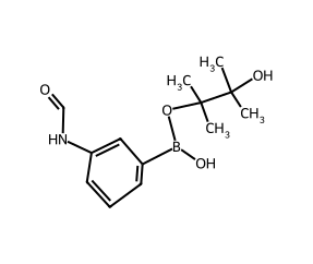 CC(C)(O)C(C)(C)OB(O)c1cccc(NC=O)c1